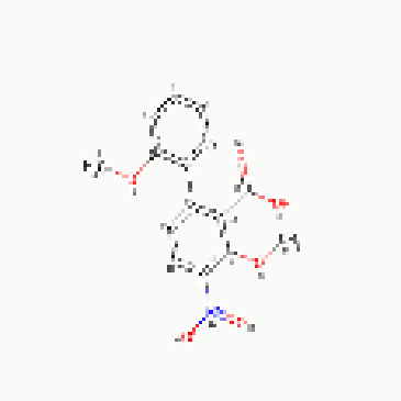 COc1ccccc1-c1ccc([N+](=O)[O-])c(OC)c1C(=O)O